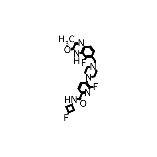 Cc1nc2ccc(CN3CCN(c4ccc(C(=O)N[C@H]5C[C@H](F)C5)nc4F)CC3)c(F)c2[nH]c1=O